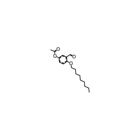 CCCCCCCCCOc1ccc(OC(C)=O)cc1C=O